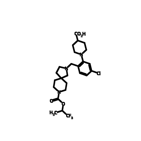 CC(OC(=O)N1CCC2(CCN(Cc3ccc(Cl)cc3N3CCC(C(=O)O)CC3)C2)CC1)C(F)(F)F